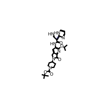 CC(C)Oc1nc2c(cc1NC(=O)/C(C=N)=C1\N=CC=CN1)CN(C1CCN(C(=O)OC(C)(C)C)CC1)C2=O